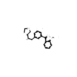 Cl.Cn1nc(-c2cccc(C[C@H](C(=O)O)[C@H]3CCNC3)c2)c2ccccc21